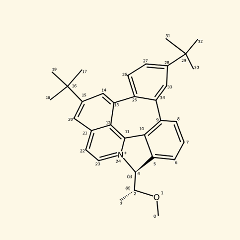 CO[C@H](C)[C@@H]1c2cccc3c2-c2c4c(cc(C(C)(C)C)cc4cc[n+]21)-c1ccc(C(C)(C)C)cc1-3